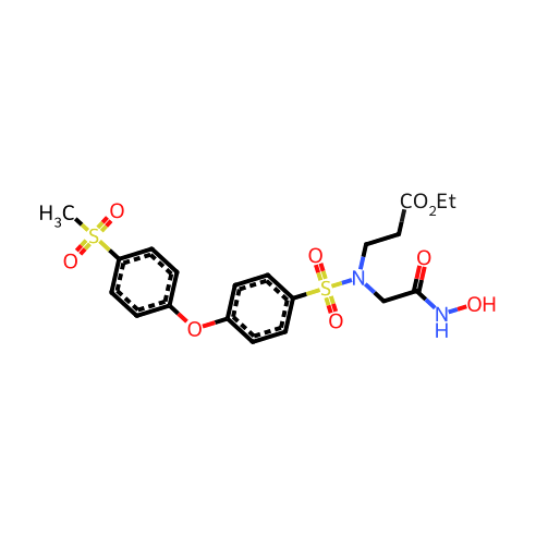 CCOC(=O)CCN(CC(=O)NO)S(=O)(=O)c1ccc(Oc2ccc(S(C)(=O)=O)cc2)cc1